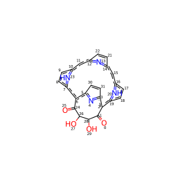 O=C1c2c3nc(c(c4ccc(cc5nc(cc6ccc2[nH]6)C=C5)[nH]4)C(=O)C(O)C1O)C=C3